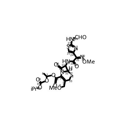 COCC1=C(C(=O)OC(C)OC(=O)OC(C)C)N2C(=O)C(NC(=O)/C(=N\OC)c3csc(NC=O)n3)[C@@H]2SC1